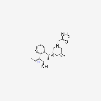 C=C(c1cccnc1/C(C=N)=C\C)[C@H]1C[C@H](C)CN(CC(N)=O)C1